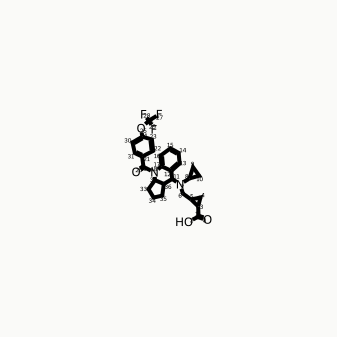 O=C(O)C1CC1CN(C1CC1)C1c2ccccc2N(C(=O)c2ccc(OC(F)(F)F)cc2)C2CCCC21